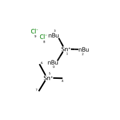 CCC[CH2][Sn+]([CH2]CCC)[CH2]CCC.[CH3][Sn+]([CH3])[CH3].[Cl-].[Cl-]